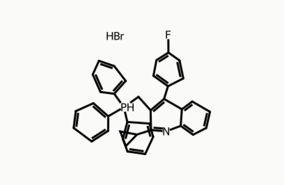 Br.Fc1ccc(-c2c(C[PH](c3ccccc3)(c3ccccc3)c3ccccc3)c(C3CC3)nc3ccccc23)cc1